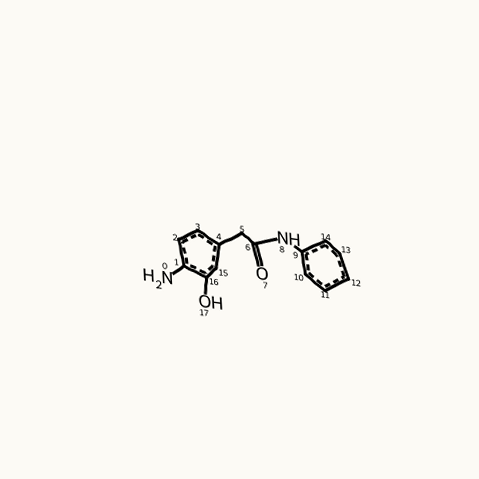 Nc1ccc(CC(=O)Nc2ccccc2)cc1O